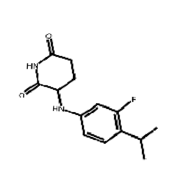 CC(C)c1ccc(NC2CCC(=O)NC2=O)cc1F